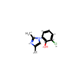 CCc1c[nH]c(C)n1.Oc1ccccc1Cl